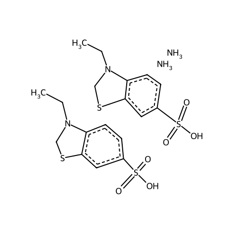 CCN1CSc2cc(S(=O)(=O)O)ccc21.CCN1CSc2cc(S(=O)(=O)O)ccc21.N.N